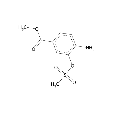 COC(=O)c1ccc(N)c(OS(C)(=O)=O)c1